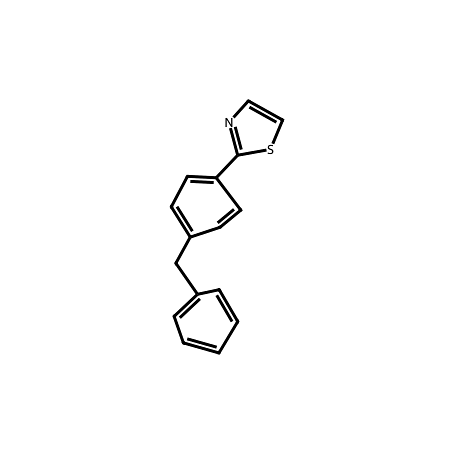 c1ccc(Cc2ccc(-c3nccs3)cc2)cc1